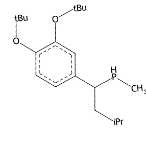 CPC(CC(C)C)c1ccc(OC(C)(C)C)c(OC(C)(C)C)c1